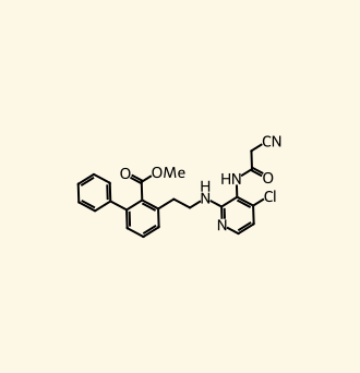 COC(=O)c1c(CCNc2nccc(Cl)c2NC(=O)CC#N)cccc1-c1ccccc1